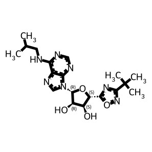 CC(C)CNc1ncnc2c1ncn2[C@@H]1O[C@H](c2nc(C(C)(C)C)no2)[C@@H](O)[C@H]1O